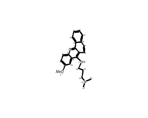 COc1ccc2nc3c(ccc4ccccc43)c(NCCCN(C)C)c2c1